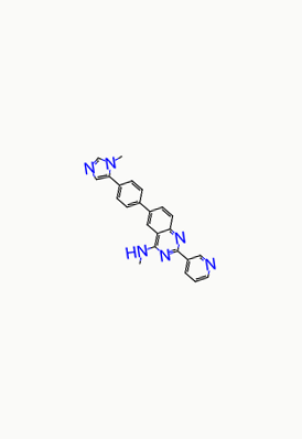 CNc1nc(-c2cccnc2)nc2ccc(-c3ccc(-c4cncn4C)cc3)cc12